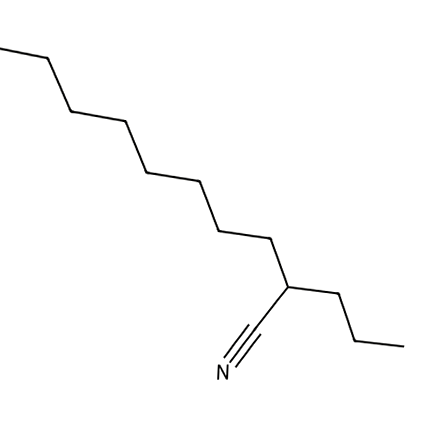 CCCCCCCCC(C#N)CCC